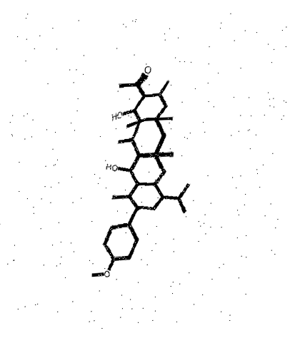 COC1CCC(C2CC(C(C)C)C3CC4(C)CC5(C)CC(C)C(C(C)=O)C(O)C5(C)C(C)C4C(O)C3C2C)CC1